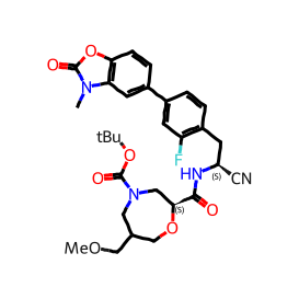 COCC1CO[C@H](C(=O)N[C@H](C#N)Cc2ccc(-c3ccc4oc(=O)n(C)c4c3)cc2F)CN(C(=O)OC(C)(C)C)C1